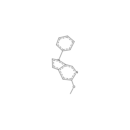 COc1cc2ccn(-c3ccccc3)c2cn1